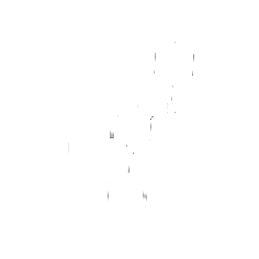 [CH2]C(=O)N(CC(=O)NC1CCCCC1)c1ccccc1F